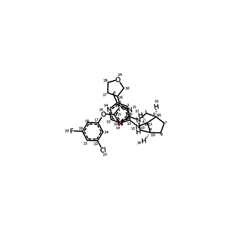 Cc1cc(N2C[C@H]3CC[C@@H](C2)[C@H]3Nc2nc(Oc3cc(F)cc(Cl)c3)n(C3CCOC3)n2)ncn1